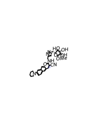 CO[C@H]1O[C@H](Cn2cc(CNC(=O)/C(C#N)=C\c3ccc4cc(N5CCCCC5)ccc4c3)nn2)[C@@H](O)[C@H](O)[C@H]1O